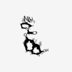 N[C@@H]1CCN(C(=O)Oc2ccc3ccc(O)cc3c2)C1